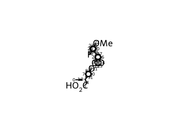 CC#C[C@@H](CC(=O)O)c1ccc(OC[C@H]2COc3ccc(-c4cc(OC)ccc4F)cc3O2)cc1